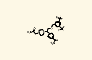 NC(=O)CN1CCN(C(COCc2cc(C(F)(F)F)cc(C(F)(F)F)c2)c2ccc(C(N)=O)cc2)CC1